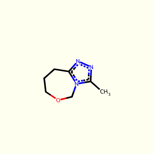 Cc1nnc2n1COCCC2